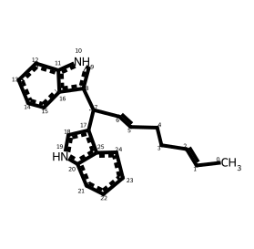 C/C=C/CC/C=C/[C](c1c[nH]c2ccccc12)c1c[nH]c2ccccc12